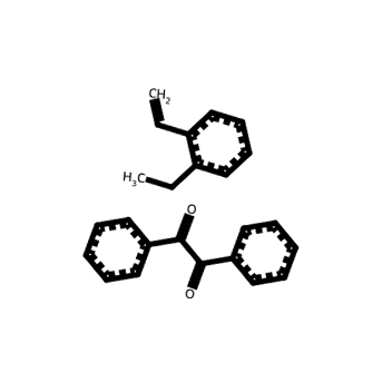 C=Cc1ccccc1CC.O=C(C(=O)c1ccccc1)c1ccccc1